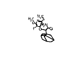 COc1nc(SC)nc(OC(C(N)=O)C23CC4CC(CC(C4)C2)C3)c1F